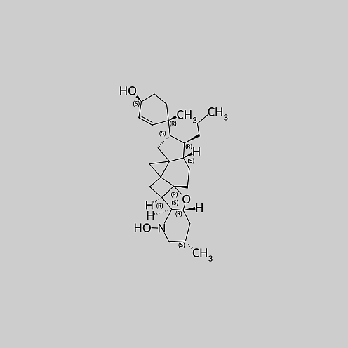 CCC[C@H]1[C@@H]2CC[C@@]34O[C@@H]5C[C@H](C)CN(O)[C@H]5[C@H]3CC43CC23C[C@@H]1[C@]1(C)C=C[C@@H](O)CC1